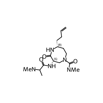 C=CCC[C@@H]1CCN(C(=O)NC)C[C@H](NC(=O)C(C)NC)C(=O)N1